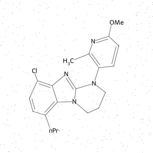 CC[CH]c1ccc(Cl)c2nc3n(c12)CCCN3c1ccc(OC)nc1C